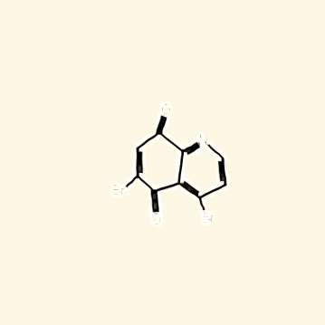 O=C1C=C(Br)C(=O)c2c(Br)ccnc21